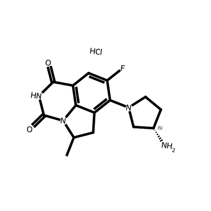 CC1Cc2c(N3CC[C@H](N)C3)c(F)cc3c(=O)[nH]c(=O)n1c23.Cl